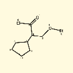 CCOCC(C(=O)Cl)C1CCCC1